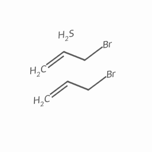 C=CCBr.C=CCBr.S